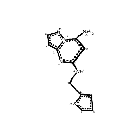 Nc1cc(NCc2cccs2)nc2ccnn12